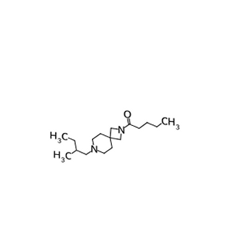 CCCCC(=O)N1CC2(CCN(CC(C)CC)CC2)C1